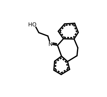 OCCN=C1c2ccccc2CCc2ccccc21